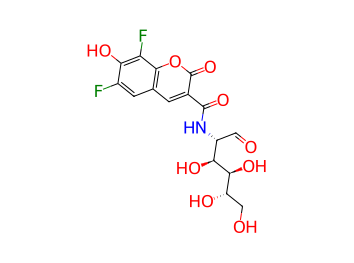 O=C[C@@H](NC(=O)c1cc2cc(F)c(O)c(F)c2oc1=O)[C@H](O)[C@@H](O)[C@@H](O)CO